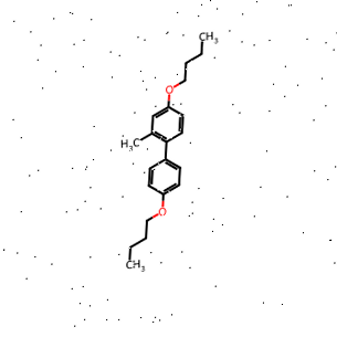 CCCCOc1ccc(-c2ccc(OCCCC)cc2C)cc1